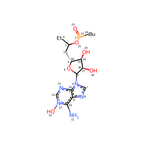 CCC(C[C@H]1OC(n2cnc3c(N)[n+](O)cnc32)[C@H](O)[C@@H]1O)O[PH](=O)C(C)CC